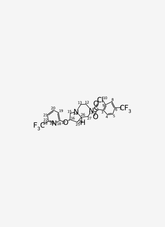 O=S(=O)(c1ccc(C(F)(F)F)cc1Cl)N1CCN2C[C@H](Oc3cccc(C(F)(F)F)n3)C[C@H]2C1